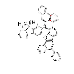 CC1(C)c2ccccc2-c2ccc(N(c3ccc4ccccc4c3)c3c(-c4ccccc4)ccc4c3oc3c5ccccc5c(-c5ccccc5)cc43)cc21